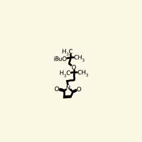 CC(C)COC(C)(C)COC(C)(C)CCN1C(=O)C=CC1=O